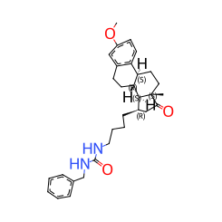 COc1ccc2c(c1)CC[C@H]1[C@@H]3[C@H](CCCCNC(=O)NCc4ccccc4)CC(=O)[C@@]3(C)CC[C@H]21